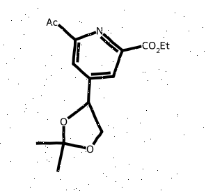 CCOC(=O)c1cc(C2COC(C)(C)O2)cc(C(C)=O)n1